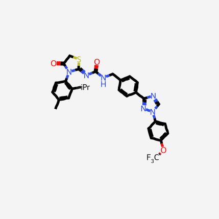 Cc1ccc(N2C(=O)CSC2=NC(=O)NCc2ccc(-c3ncn(-c4ccc(OC(F)(F)F)cc4)n3)cc2)c(C(C)C)c1